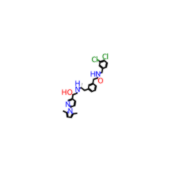 Cc1ccc(C)n1-c1ccc([C@H](O)CN[C@H](C)Cc2cccc(CC(=O)NCc3ccc(Cl)c(Cl)c3)c2)cn1